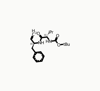 C=C[C@H](Cc1ccccc1)NC(=O)[C@@H](NC(=O)OC(C)(C)C)C(C)C